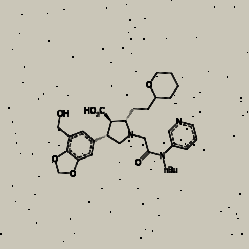 CCCCN(C(=O)CN1C[C@H](c2cc(CO)c3c(c2)OCO3)[C@@H](C(=O)O)[C@@H]1CCC1CCCCO1)c1cccnc1